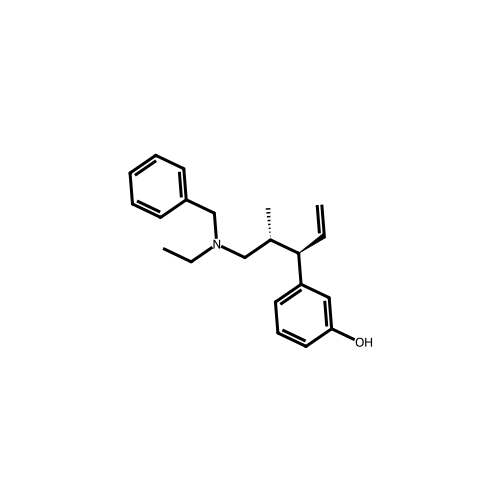 C=C[C@@H](c1cccc(O)c1)[C@@H](C)CN(CC)Cc1ccccc1